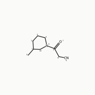 CC1CCCN(C(=O)CC#N)C1